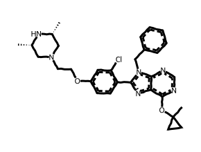 C[C@@H]1CN(CCOc2ccc(-c3nc4c(OC5(C)CC5)ncnc4n3Cc3ccccc3)c(Cl)c2)C[C@H](C)N1